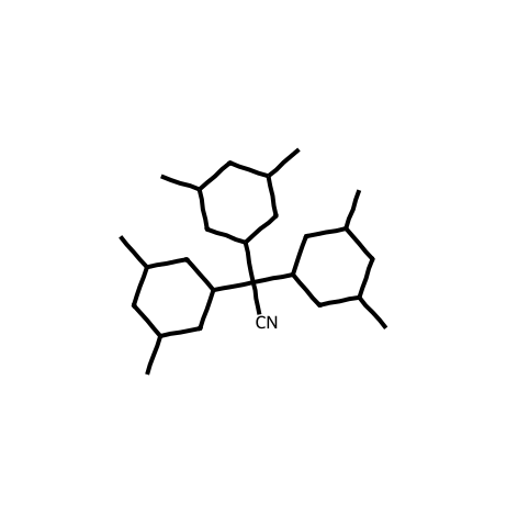 CC1CC(C)CC(C(C#N)(C2CC(C)CC(C)C2)C2CC(C)CC(C)C2)C1